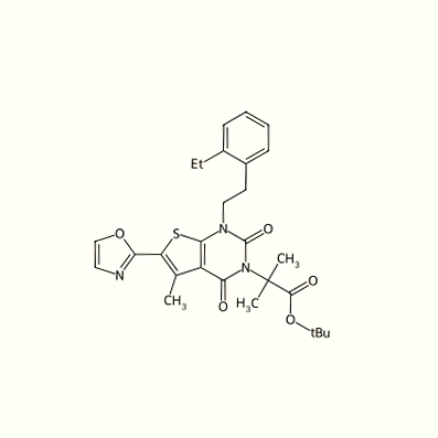 CCc1ccccc1CCn1c(=O)n(C(C)(C)C(=O)OC(C)(C)C)c(=O)c2c(C)c(-c3ncco3)sc21